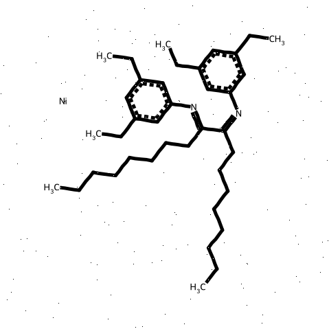 CCCCCCCCC(=Nc1cc(CC)cc(CC)c1)C(CCCCCCCC)=Nc1cc(CC)cc(CC)c1.[Ni]